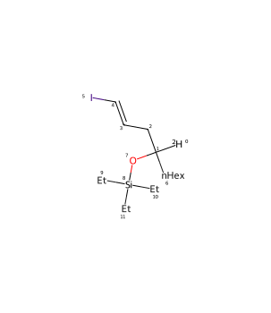 [2H]C(C/C=C/I)(CCCCCC)O[Si](CC)(CC)CC